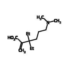 C=C(C(=O)O)C(CC)(CC)CCCN(C)C